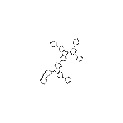 c1ccc(-c2cc(-c3ccccc3)cc(-n3c4ccc(-c5ccccc5)cc4c4cc(-c5ccc6c(c5)c5cc(-c7ccccc7)ccc5n6-c5ccc6sc7ccccc7c6c5)ccc43)c2)cc1